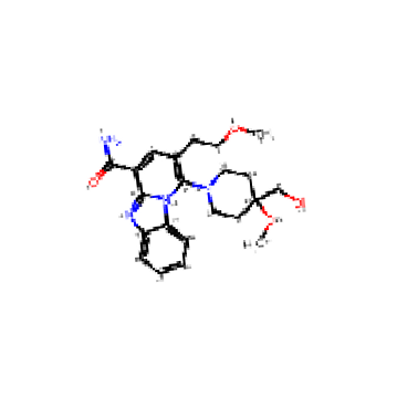 COCCc1cc(C(N)=O)c2nc3ccccc3n2c1N1CCC(CO)(OC)CC1